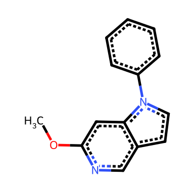 COc1cc2c(ccn2-c2ccccc2)cn1